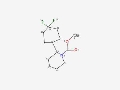 CC(C)(C)OC(=O)N1CCCCC1C1CCC(F)(F)CC1